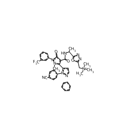 CC(NC(=O)c1c(-c2ccnn2-c2ccc(C#N)cc2)n(C)n(-c2cccc(C(F)(F)F)c2)c1=O)c1nnc(C[N+](C)(C)C)o1.c1ccccc1